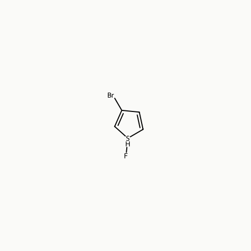 F[SH]1C=CC(Br)=C1